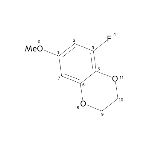 COc1cc(F)c2c(c1)OCCO2